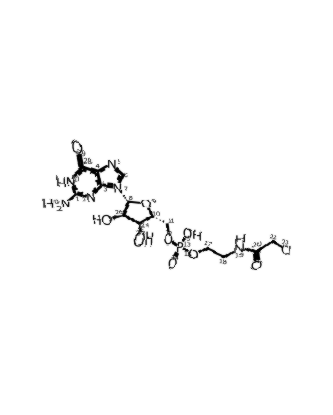 Nc1nc2c(ncn2[C@@H]2O[C@H](COP(=O)(O)OCCNC(=O)CCl)[C@@H](O)[C@H]2O)c(=O)[nH]1